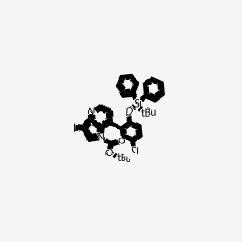 CC(C)(C)OC(=O)n1cc(I)c2nccc(-c3cc(Cl)ccc3O[Si](c3ccccc3)(c3ccccc3)C(C)(C)C)c21